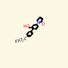 CCOC(=O)c1ccc(-c2ccc(N3CCCC3=O)cc2CO)cc1